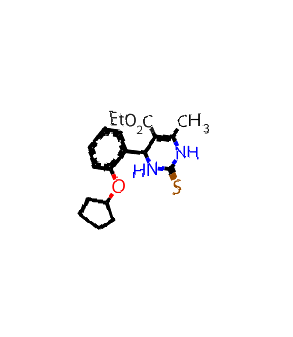 CCOC(=O)C1=C(C)NC(=S)NC1c1ccccc1OC1CCCC1